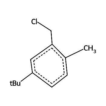 Cc1ccc(C(C)(C)C)cc1CCl